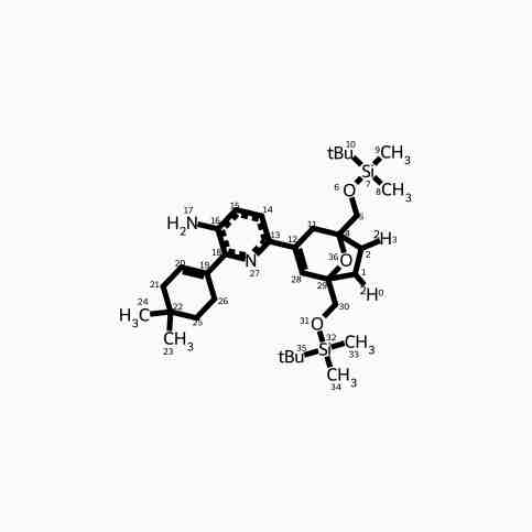 [2H]C1C([2H])C2(CO[Si](C)(C)C(C)(C)C)CC(c3ccc(N)c(C4=CCC(C)(C)CC4)n3)=CC1(CO[Si](C)(C)C(C)(C)C)O2